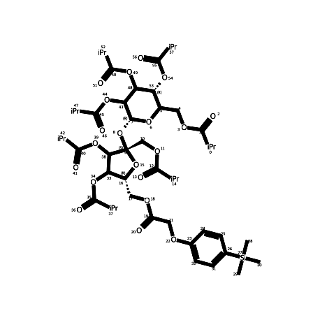 CC(C)C(=O)OCC1O[C@H](O[C@]2(COC(=O)C(C)C)O[C@H](COC(=O)COc3ccc([Si](C)(C)C)cc3)C(OC(=O)C(C)C)C2OC(=O)C(C)C)C(OC(=O)C(C)C)C(OC(=O)C(C)C)[C@@H]1OC(=O)C(C)C